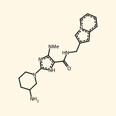 CNc1nc(N2CCCC(N)C2)[nH]c1C(=O)NCc1cc2ccccn2c1